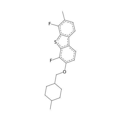 Cc1ccc2c(sc3c(F)c(OCC4CCC(C)CC4)ccc32)c1F